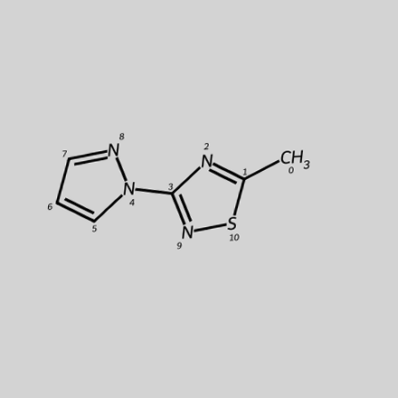 Cc1nc(-n2cccn2)ns1